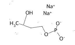 CC(O)CCOP([O-])[O-].[Na+].[Na+]